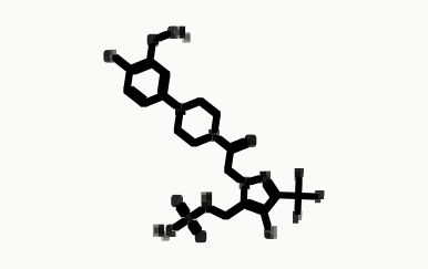 COc1cc(N2CCN(C(=O)Cn3nc(C(F)(F)F)c(Cl)c3CNS(C)(=O)=O)CC2)ccc1Cl